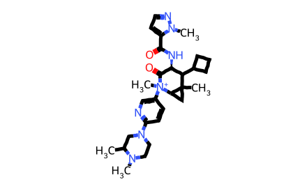 CC1CN(c2ccc([N+]3(C)C(=O)[C@@H](NC(=O)c4ccnn4C)C(C4CCC4)C4(C)CC43)cn2)CCN1C